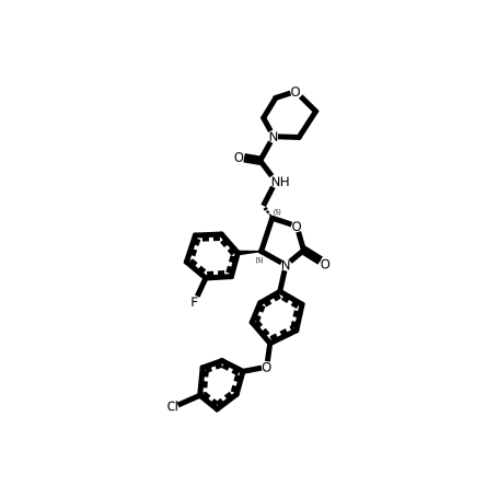 O=C(NC[C@@H]1OC(=O)N(c2ccc(Oc3ccc(Cl)cc3)cc2)[C@H]1c1cccc(F)c1)N1CCOCC1